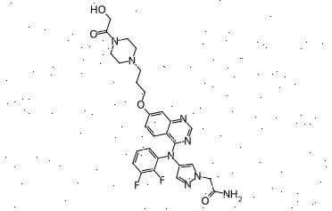 NC(=O)Cn1cc(N(c2cccc(F)c2F)c2ncnc3cc(OCCCN4CCN(C(=O)CO)CC4)ccc23)cn1